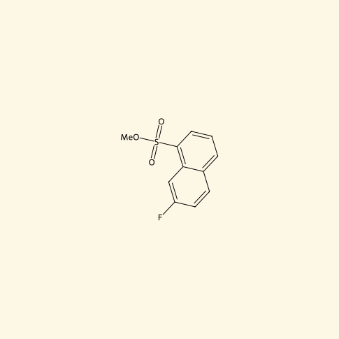 [CH2]OS(=O)(=O)c1cccc2ccc(F)cc12